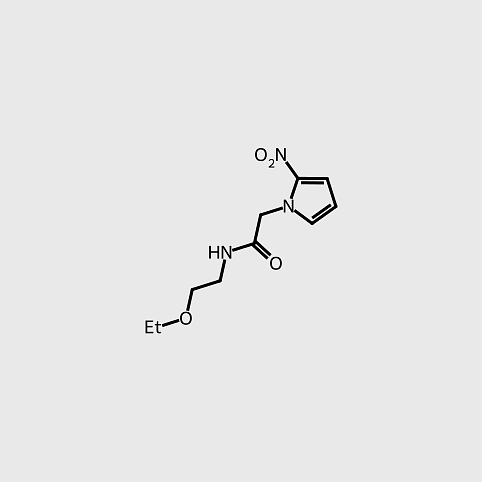 CCOCCNC(=O)Cn1cccc1[N+](=O)[O-]